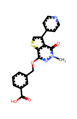 Cn1nc(OCc2cccc(C(=O)O)c2)c2scc(-c3ccncc3)c2c1=O